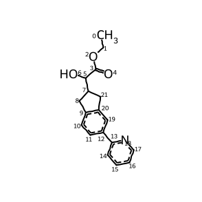 CCOC(=O)C(O)C1Cc2ccc(-c3ccccn3)cc2C1